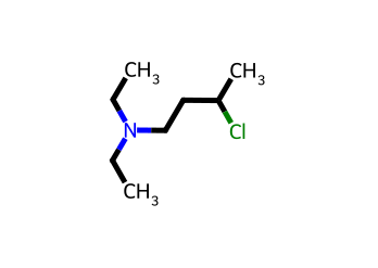 CCN(CC)CCC(C)Cl